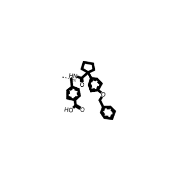 C[C@H](NC(=O)C1(c2ccc(OCc3ccccc3)cc2)CCCC1)c1ccc(C(=O)O)cc1